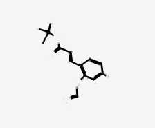 CC(C)(C)OC(=O)C=Cc1ccc(O)cc1OC=O